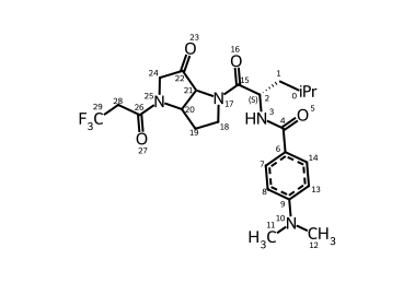 CC(C)C[C@H](NC(=O)c1ccc(N(C)C)cc1)C(=O)N1CCC2C1C(=O)CN2C(=O)CC(F)(F)F